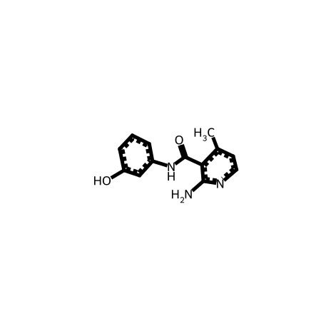 Cc1ccnc(N)c1C(=O)Nc1cccc(O)c1